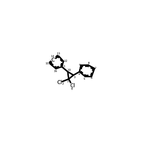 ClC1(Cl)C(c2ccccc2)C1c1ccccc1